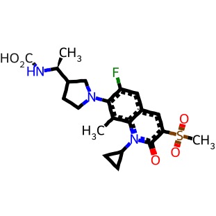 Cc1c(N2CCC([C@H](C)NC(=O)O)C2)c(F)cc2cc(S(C)(=O)=O)c(=O)n(C3CC3)c12